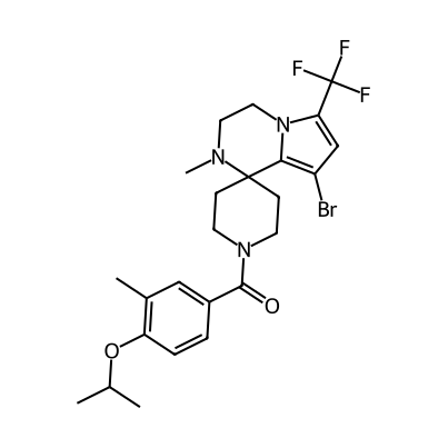 Cc1cc(C(=O)N2CCC3(CC2)c2c(Br)cc(C(F)(F)F)n2CCN3C)ccc1OC(C)C